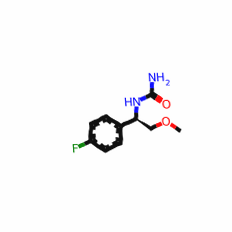 COC[C@H](NC(N)=O)c1ccc(F)cc1